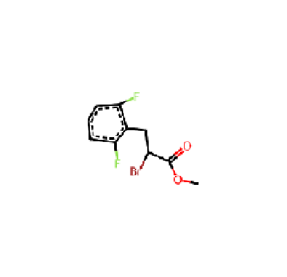 COC(=O)C(Br)Cc1c(F)cccc1F